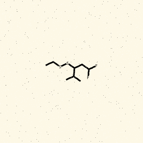 CCSSC(CC(F)F)C(C)C